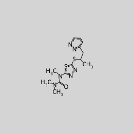 CC(Cc1cccnn1)Sc1nnc(N(C)C(=O)N(C)C)s1